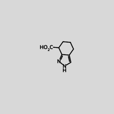 O=C(O)C1CCCc2c[nH]nc21